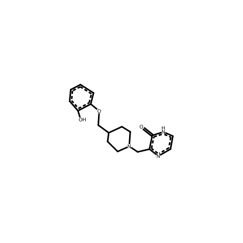 O=c1[nH]ccnc1CN1CCC(COc2ccccc2O)CC1